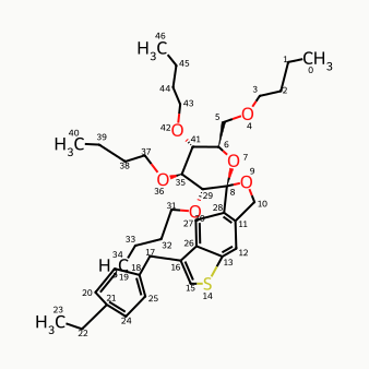 CCCCOC[C@H]1O[C@]2(OCc3cc4scc(Cc5ccc(CC)cc5)c4cc32)[C@H](OCCCC)[C@@H](OCCCC)[C@@H]1OCCCC